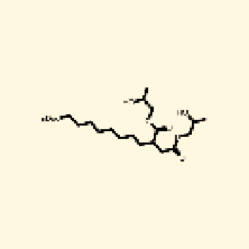 CCCCCCCCCCCCCCCCCCC(CC(=O)OCC(C)O)C(=O)OCC(C)O